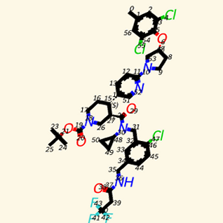 Cc1cc(Cl)c(O[C@@H]2CCN(c3ccc([C@H]4CCN(C(=O)OC(C)(C)C)C[C@@H]4C(=O)N(Cc4cc(CNC(=O)CC(F)(F)F)ccc4Cl)C4CC4)cn3)C2)c(Cl)c1